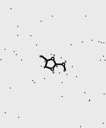 [CH2]C1COC(OC)O1